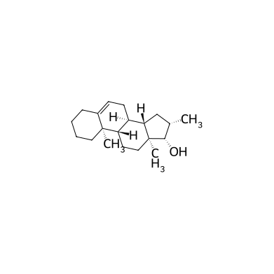 C[C@H]1C[C@H]2[C@@H]3CC=C4CCCC[C@]4(C)[C@H]3CC[C@]2(C)[C@H]1O